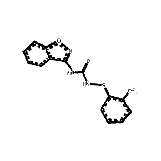 O=C(NSc1ccccc1C(F)(F)F)Nc1noc2ccccc12